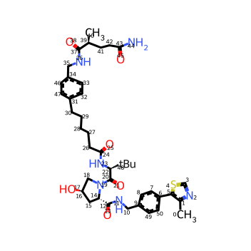 Cc1ncsc1-c1ccc(CNC(=O)[C@@H]2C[C@@H](O)CN2C(=O)[C@@H](NC(=O)CCCCCc2ccc(CNC(=O)[C@@H](C)CCC(N)=O)cc2)C(C)(C)C)cc1